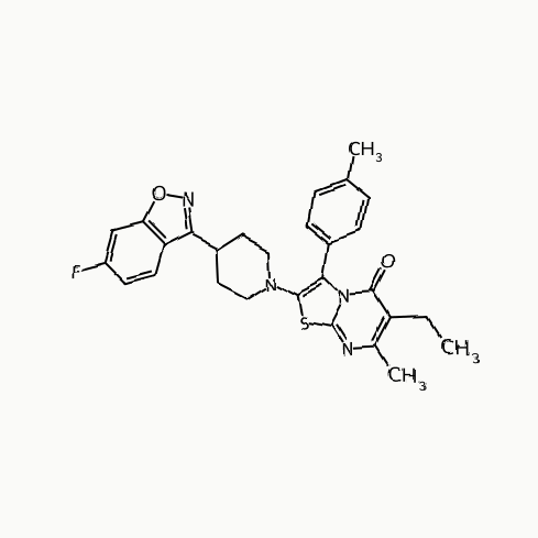 CCc1c(C)nc2sc(N3CCC(c4noc5cc(F)ccc45)CC3)c(-c3ccc(C)cc3)n2c1=O